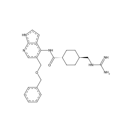 N=C(N)NC[C@H]1CC[C@H](C(=O)Nc2c(COCc3ccccc3)cnc3[nH]ccc23)CC1